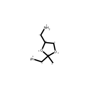 CC(C)CC1(C)OCC(CN)O1